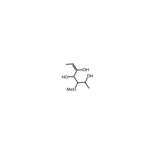 C/C=C(/O)C(O)C(OC)C(C)O